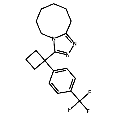 FC(F)(F)c1ccc(C2(c3nnc4n3CCCCCC4)CCC2)cc1